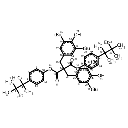 CCC(C)(C)C(C)(C)c1ccc(OC(=O)C(Cc2cc(C(C)(C)C)c(O)c(C(C)(C)C)c2)(Cc2cc(C(C)(C)C)c(O)c(C(C)(C)C)c2)C(=O)Oc2ccc(C(C)(C)C(C)(C)CC)cc2)cc1